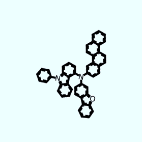 c1ccc(-n2c3ccccc3c3c(N(c4ccc5c(c4)oc4ccccc45)c4ccc5ccc6c7ccccc7ccc6c5c4)cccc32)cc1